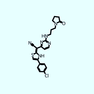 N#C/C(=C1/NC(c2ccc(Cl)cc2)=CS1)c1ccnc(NCCCN2CCCC2=O)n1